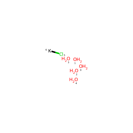 O.O.O.O.O.[Cl][K]